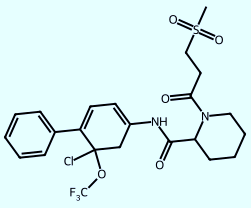 CS(=O)(=O)CCC(=O)N1CCCCC1C(=O)NC1=CC=C(c2ccccc2)C(Cl)(OC(F)(F)F)C1